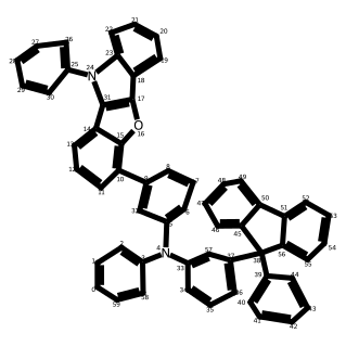 c1ccc(N(c2cccc(-c3cccc4c3oc3c5ccccc5n(-c5ccccc5)c43)c2)c2cccc(C3(c4ccccc4)c4ccccc4-c4ccccc43)c2)cc1